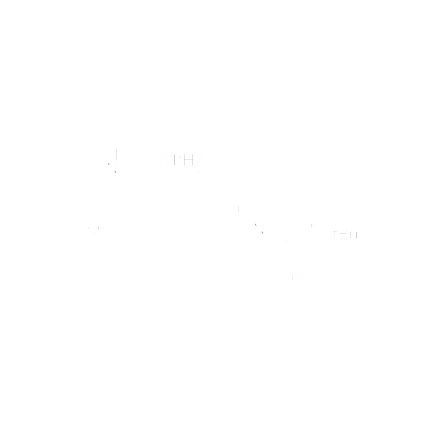 CC(C)(C)OC(=O)N1CCc2cc3c(c(P)c2CC1)NCCO3